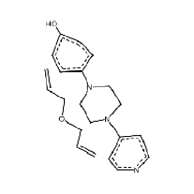 C=CCOCC=C.Oc1ccc(N2CCN(c3ccncc3)CC2)cc1